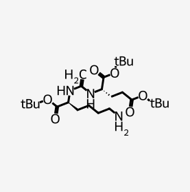 C=C(N[C@@H](CCCCN)C(=O)OC(C)(C)C)N[C@@H](CCC(=O)OC(C)(C)C)C(=O)OC(C)(C)C